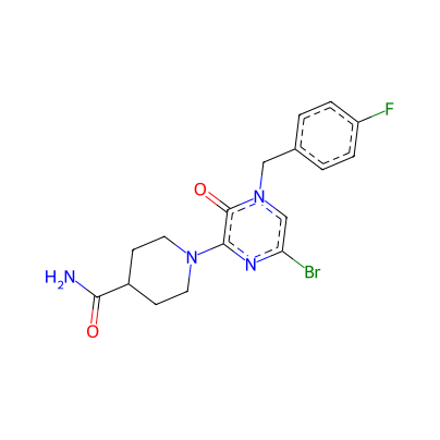 NC(=O)C1CCN(c2nc(Br)cn(Cc3ccc(F)cc3)c2=O)CC1